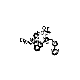 CCOCCN(c1cccc2cc(-c3ncc(CN4CCC(c5ncccn5)C4)s3)[nH]c12)S(=O)(=O)c1cccs1.O=C(O)C(F)(F)F